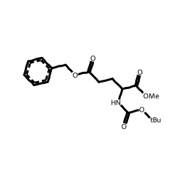 COC(=O)C(CCC(=O)OCc1ccccc1)NC(=O)OC(C)(C)C